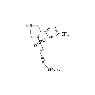 CCCCCC#C/C=C/S(=O)(=O)N1CCNCC1c1ccc(C(F)(F)F)cc1